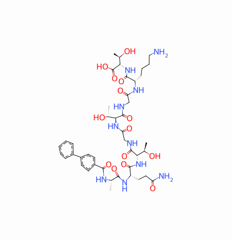 C[C@H](NC(=O)c1ccc(-c2ccccc2)cc1)C(=O)N[C@@H](CCC(N)=O)C(=O)N[C@H](C(=O)NCC(=O)N[C@H](C(=O)NCC(=O)N[C@@H](CCCCN)C(=O)N[C@H](C(=O)O)[C@@H](C)O)[C@@H](C)O)[C@@H](C)O